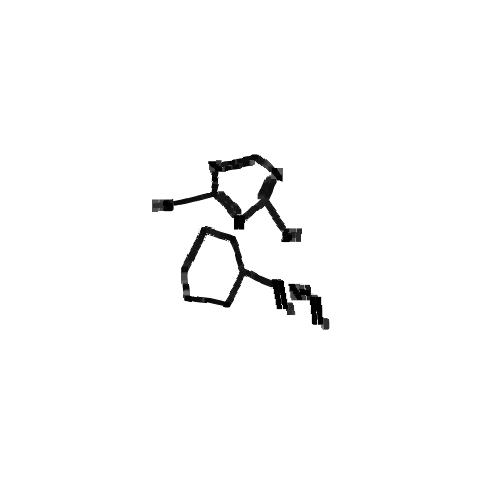 N.N.NC1CCCCC1.Sc1ncnc(S)n1